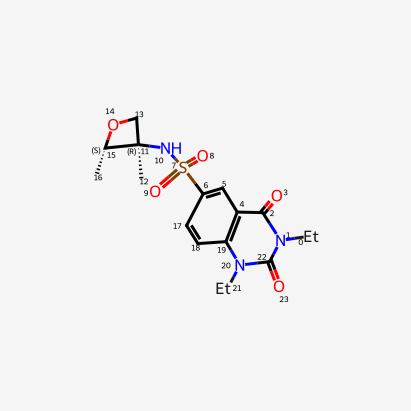 CCn1c(=O)c2cc(S(=O)(=O)N[C@]3(C)CO[C@H]3C)ccc2n(CC)c1=O